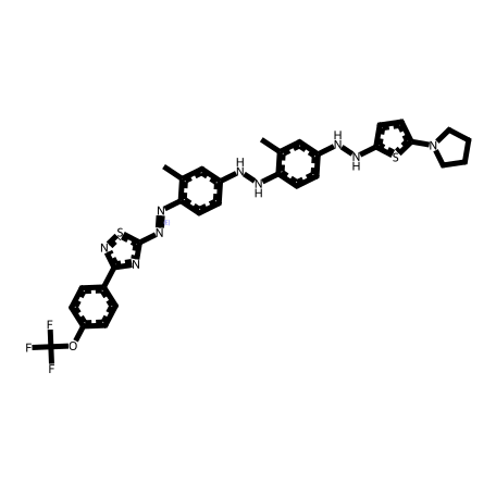 Cc1cc(NNc2ccc(NNc3ccc(N4CCCC4)s3)cc2C)ccc1/N=N/c1nc(-c2ccc(OC(F)(F)F)cc2)ns1